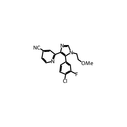 COCCn1cnc(-c2cc(C#N)ccn2)c1-c1ccc(Cl)c(F)c1